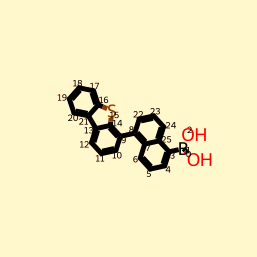 OB(O)c1cccc2c(-c3cccc4c3sc3ccccc34)cccc12